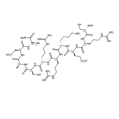 CC[C@H](C)[C@H](NC(=O)[C@H](CC(=O)O)NC(=O)[C@H](C)NC(=O)[C@H](CO)NC(=O)[C@H](CCCNC(=N)N)NC(=O)[C@H](CCCNC(=N)N)NC(=O)[C@H](CCCCN)NC(=O)[C@H](CCC(=O)O)NC(=O)[C@H](CCCNC(=N)N)NC(=O)[C@H](CO)NC)C(=O)NC